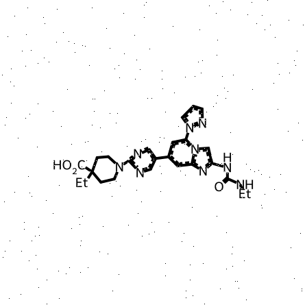 CCNC(=O)Nc1cn2c(-n3cccn3)cc(-c3cnc(N4CCC(CC)(C(=O)O)CC4)nc3)cc2n1